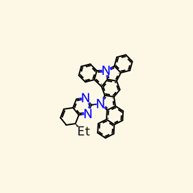 CC[C@H]1CC=Cc2cnc(-n3c4c5ccccc5ccc4c4cc5c6ccccc6n6c7ccccc7c(c43)c56)nc21